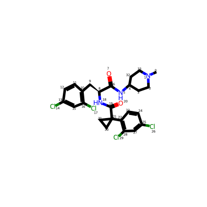 CN1CCC(NC(=O)[C@H](Cc2ccc(Cl)cc2Cl)NC(=O)C2(c3ccc(Cl)cc3Cl)CC2)CC1